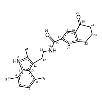 Cc1[nH]c2c(F)ccc(C)c2c1CCNC(=O)c1cc2c(s1)CCCC2=O